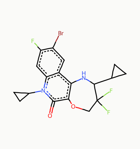 O=c1c2c(c3cc(Br)c(F)cc3n1C1CC1)NC(C1CC1)C(F)(F)CO2